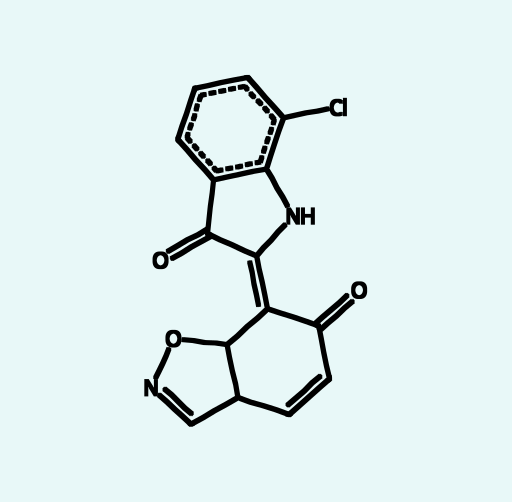 O=C1C=CC2C=NOC2C1=C1Nc2c(Cl)cccc2C1=O